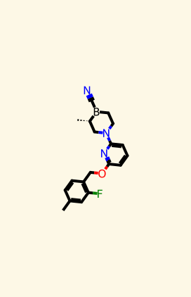 Cc1ccc(COc2cccc(N3CCB(C#N)[C@@H](C)C3)n2)c(F)c1